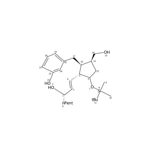 CCCCC[C@H](O)/C=C/[C@H]1C(O[Si](C)(C)C(C)(C)C)C[C@H](CO)[C@@H]1Cc1cccc(O)c1